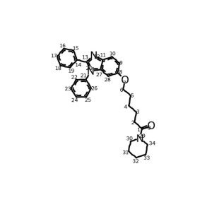 O=C(CCCCCOc1ccc2nc(-c3ccccc3)n(-c3ccccc3)c2c1)N1CCCCC1